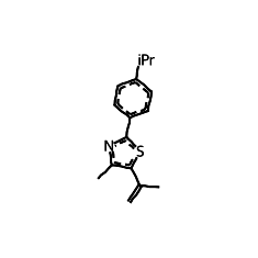 C=C(C)c1sc(-c2ccc(C(C)C)cc2)nc1C